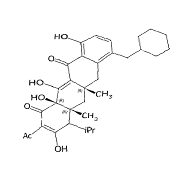 CC(=O)C1=C(O)C(C(C)C)[C@@]2(C)C[C@@]3(C)Cc4c(CC5CCCCC5)ccc(O)c4C(=O)C3=C(O)[C@@]2(O)C1=O